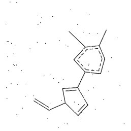 C=CC1C=CC(c2ccc(C)c(C)c2)=C1